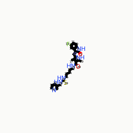 Cc1[nH]c(/C=C2\C(=O)Nc3ccc(F)cc32)c(C)c1C(=O)NCCCCCNC(=S)NCc1cccnc1